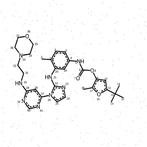 Cc1ccc(NC(=O)Oc2cc(C(C)(C)C)oc2C)cc1Nc1nccn1-c1cc(NCCN2CCOCC2)ncn1